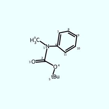 CN(C(=O)OC(C)(C)C)c1cc[c]cc1